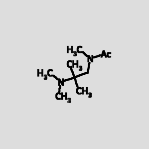 CC(=O)N(C)CC(C)(C)N(C)C